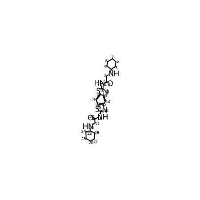 O=C(CNC1CCCCC1)Nc1nc2cc3nc(NC(=O)CNC4CCCCC4)sc3cc2s1